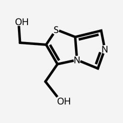 OCc1sc2cncn2c1CO